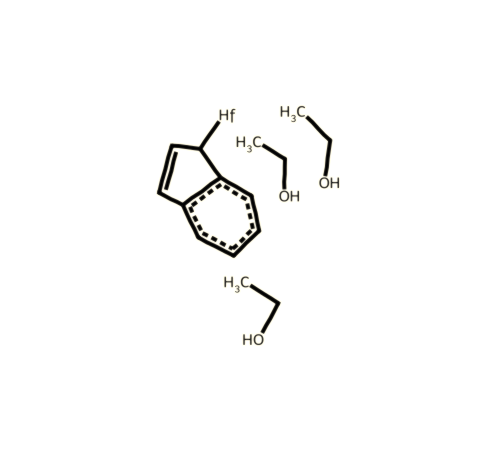 CCO.CCO.CCO.[Hf][CH]1C=Cc2ccccc21